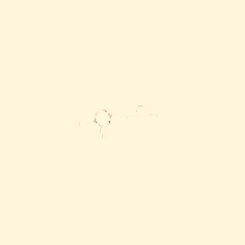 Cc1ccc(OCC2COC(C)O2)cc1C